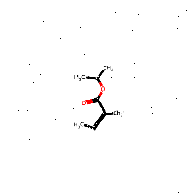 [CH2]/C(=C/C)C(=O)OC(C)C